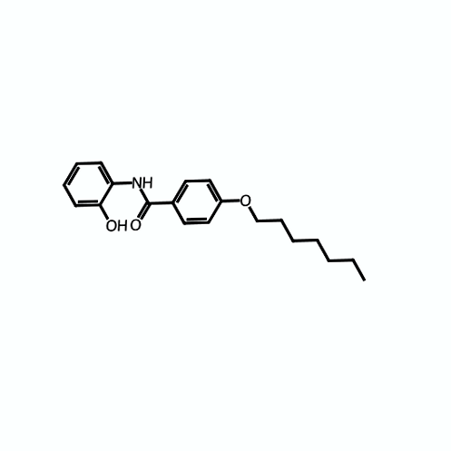 CCCCCCCOc1ccc(C(=O)Nc2ccccc2O)cc1